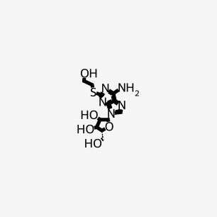 Nc1nc(SCCO)nc2c1ncn2[C@@H]1O[C@H](CO)C(O)C1O